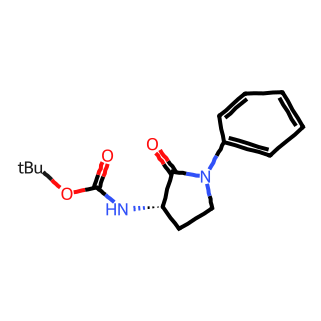 CC(C)(C)OC(=O)N[C@H]1CCN(c2ccccc2)C1=O